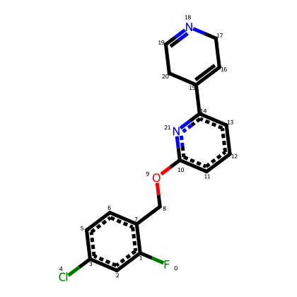 Fc1cc(Cl)ccc1COc1cccc(C2=CCN=CC2)n1